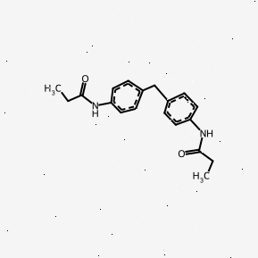 CCC(=O)Nc1ccc(Cc2ccc(NC(=O)CC)cc2)cc1